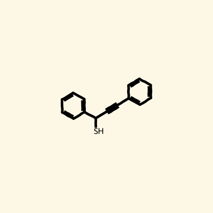 SC(C#Cc1ccccc1)c1ccccc1